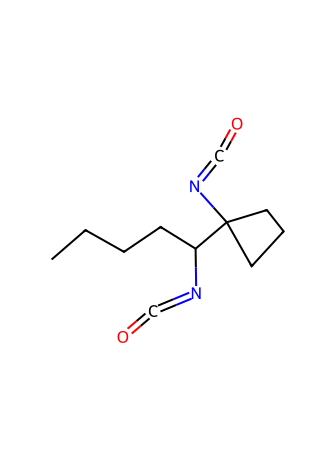 CCCCC(N=C=O)C1(N=C=O)CCC1